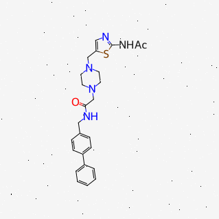 CC(=O)Nc1ncc(CN2CCN(CC(=O)NCc3ccc(-c4ccccc4)cc3)CC2)s1